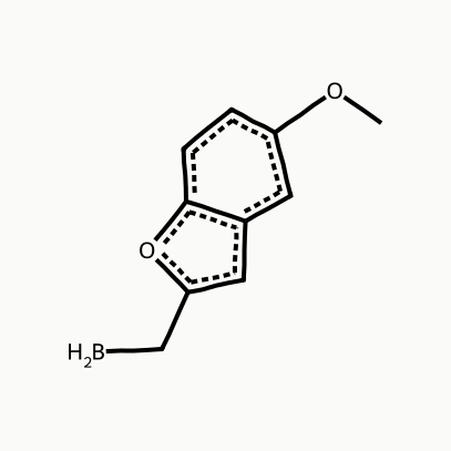 BCc1cc2cc(OC)ccc2o1